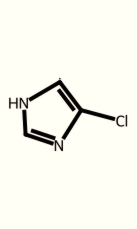 Clc1[c][nH]cn1